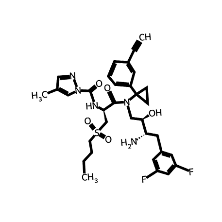 C#Cc1cccc(C2(N(C[C@@H](O)[C@@H](N)Cc3cc(F)cc(F)c3)C(=O)[C@@H](CS(=O)(=O)CCCC)NC(=O)n3cc(C)cn3)CC2)c1